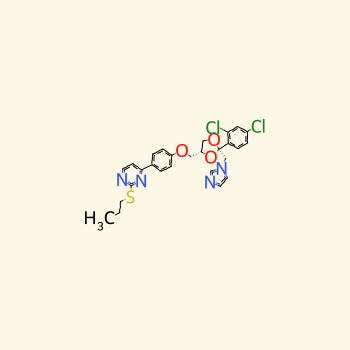 CCCSc1nccc(-c2ccc(OC[C@@H]3CO[C@@](Cn4ccnc4)(c4ccc(Cl)cc4Cl)O3)cc2)n1